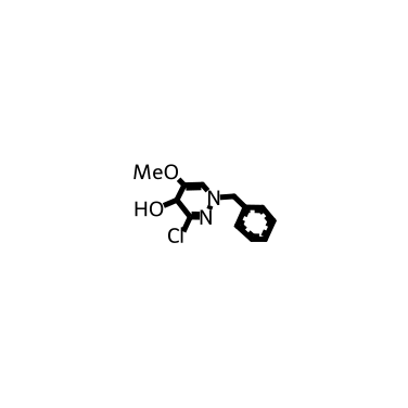 COC1=CN(Cc2ccccc2)N=C(Cl)C1O